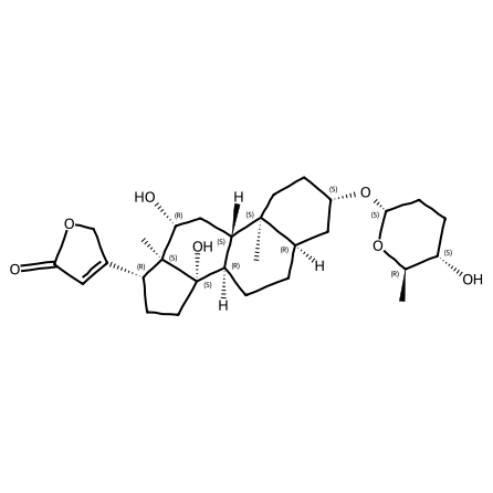 C[C@H]1O[C@H](O[C@H]2CC[C@@]3(C)[C@H](CC[C@@H]4[C@@H]3C[C@@H](O)[C@]3(C)[C@@H](C5=CC(=O)OC5)CC[C@]43O)C2)CC[C@@H]1O